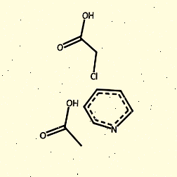 CC(=O)O.O=C(O)CCl.c1ccncc1